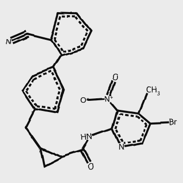 Cc1c(Br)cnc(NC(=O)C2CC2Cc2ccc(-c3ccccc3C#N)cc2)c1[N+](=O)[O-]